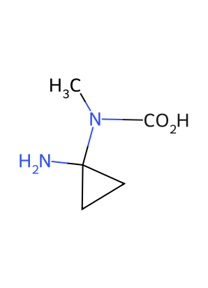 CN(C(=O)O)C1(N)CC1